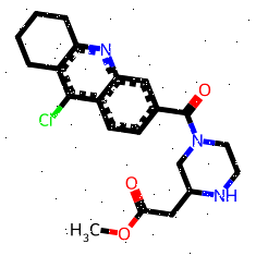 COC(=O)CC1CN(C(=O)c2ccc3c(Cl)c4c(nc3c2)CCCC4)CCN1